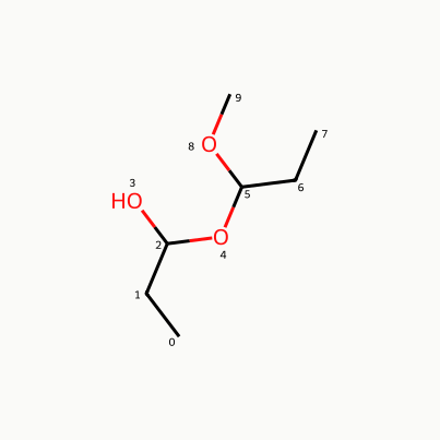 CCC(O)OC(CC)OC